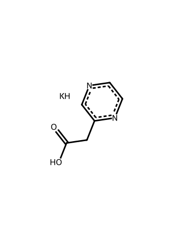 O=C(O)Cc1cnccn1.[KH]